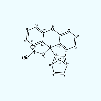 CC(C)(C)C(=O)OC1(c2cc3ccc2o3)c2ccccc2Oc2ccccc21